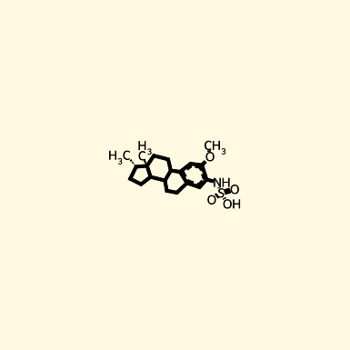 COc1cc2c(cc1NS(=O)(=O)O)CCC1C2CC[C@@]2(C)C1CC[C@@H]2C